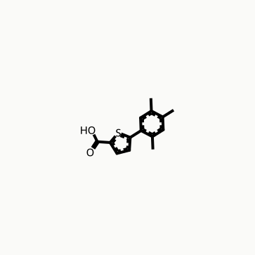 Cc1cc(C)c(-c2ccc(C(=O)O)s2)cc1C